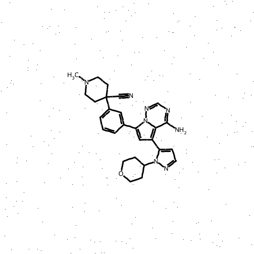 CN1CCC(C#N)(c2cccc(-c3cc(-c4ccnn4C4CCOCC4)c4c(N)ncnn34)c2)CC1